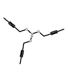 CC#CCO[SiH](OCC#CC)OCC#CC